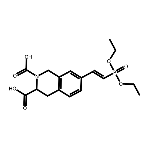 CCOP(=O)(C=Cc1ccc2c(c1)CN(C(=O)O)C(C(=O)O)C2)OCC